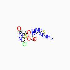 COC1C(Sc2cc(Cl)cnc2N2CC3(COC3)C2)OC2COC2C1N(N)/C=C(\N)c1csc(N)n1